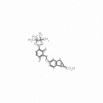 CC1(C)OB(c2ccc(F)c(COc3ccc4c(c3)CC3C(C(=O)O)C43)c2F)OC1(C)C